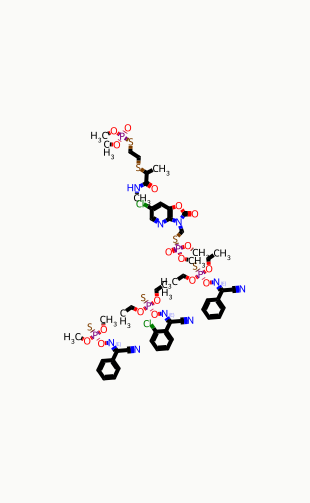 CCOP(=S)(OCC)O/N=C(/C#N)c1ccccc1.CCOP(=S)(OCC)O/N=C(/C#N)c1ccccc1Cl.CNC(=O)C(C)SCCSP(=O)(OC)OC.COP(=O)(OC)SCn1c(=O)oc2cc(Cl)cnc21.COP(=S)(OC)O/N=C(/C#N)c1ccccc1